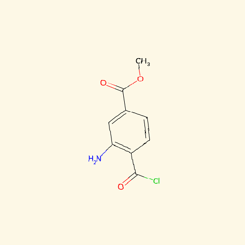 COC(=O)c1ccc(C(=O)Cl)c(N)c1